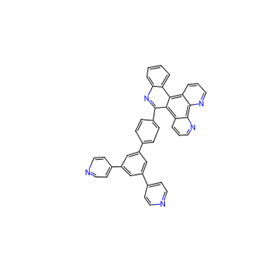 c1ccc2c(c1)nc(-c1ccc(-c3cc(-c4ccncc4)cc(-c4ccncc4)c3)cc1)c1c3cccnc3c3ncccc3c21